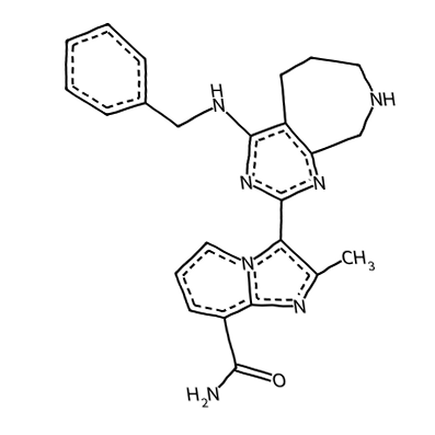 Cc1nc2c(C(N)=O)cccn2c1-c1nc2c(c(NCc3ccccc3)n1)CCCNC2